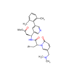 COC(=O)C[C@H](NC(=O)C(CC(C)C)n1cc(CN(C)C)ccc1=O)c1cncc(-c2c(C)cccc2C)c1